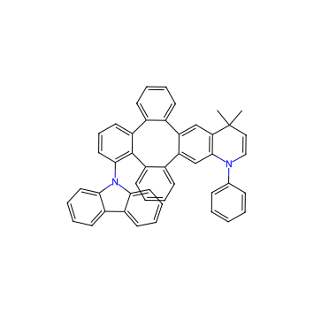 CC1(C)C=CN(c2ccccc2)c2cc3c(cc21)-c1ccccc1-c1cccc(-n2c4ccccc4c4ccccc42)c1-c1ccccc1-3